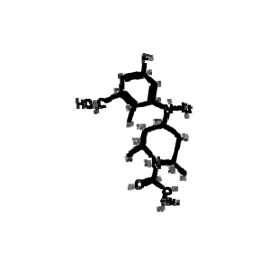 CCN(c1cc(F)cc(C(=O)O)c1C)C1CC(C)N(C(=O)OC(C)(C)C)[C@H](C)C1